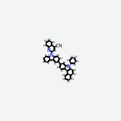 N#Cc1cc(-n2c3ccccc3c3cc(-c4ccc5c6c7ccccc7ccc6n(-c6ccccc6)c5c4)ccc32)nc2ccccc12